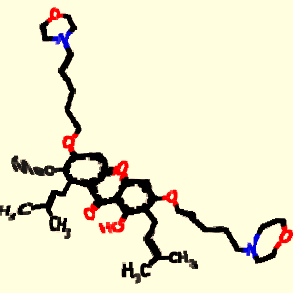 COc1c(OCCCCCN2CCOCC2)cc2oc3cc(OCCCCCN4CCOCC4)c(CC=C(C)C)c(O)c3c(=O)c2c1CC=C(C)C